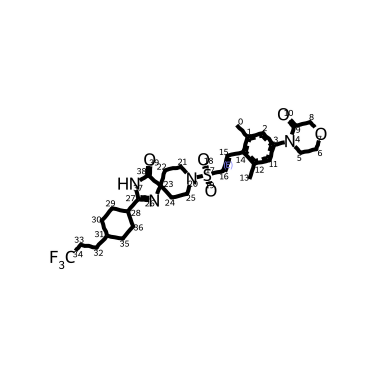 Cc1cc(N2CCOCC2=O)cc(C)c1/C=C/S(=O)(=O)N1CCC2(CC1)N=C(C1CCC(CCC(F)(F)F)CC1)NC2=O